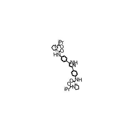 CC(C)C(=O)N1CCC[C@H]1C(=O)Nc1ccc(-c2cc(-c3ccc(NC(=O)[C@@H]4CCCN4C(=O)C(C)C)cc3)[nH]n2)cc1